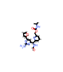 CC(C)NC(=O)OCc1cccc(C(NC=O)c2cc(-c3ccco3)nc(N)n2)n1